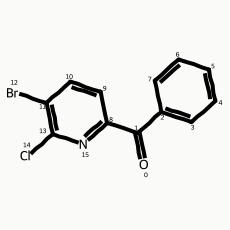 O=C(c1ccccc1)c1ccc(Br)c(Cl)n1